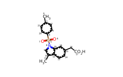 Cc1ccc(S(=O)(=O)n2cc(C)c3ccc(CC(=O)O)cc32)cc1